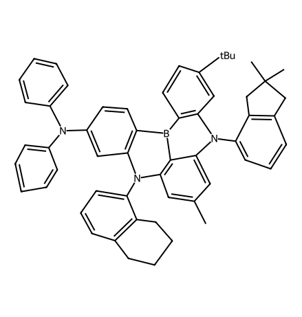 Cc1cc2c3c(c1)N(c1cccc4c1CC(C)(C)C4)c1cc(C(C)(C)C)ccc1B3c1ccc(N(c3ccccc3)c3ccccc3)cc1N2c1cccc2c1CCCC2